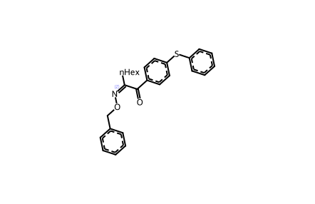 CCCCCC/C(=N/OCc1ccccc1)C(=O)c1ccc(Sc2ccccc2)cc1